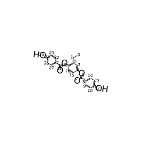 CCc1cc(OC(=O)c2ccc(O)cc2)ccc1OC(=O)c1ccc(O)cc1